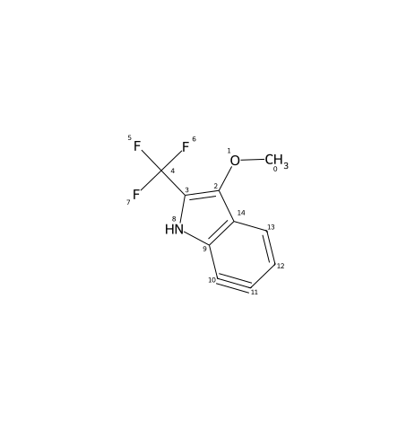 COc1c(C(F)(F)F)[nH]c2c#cccc12